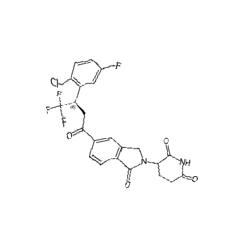 O=C1CCC(N2Cc3cc(C(=O)C[C@H](c4cc(F)ccc4Cl)C(F)(F)F)ccc3C2=O)C(=O)N1